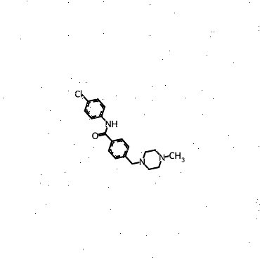 CN1CCN(Cc2ccc(C(=O)Nc3ccc(Cl)cc3)cc2)CC1